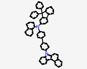 c1ccc(C2(c3ccccc3)c3ccccc3-c3ccc(N(c4ccc(-c5ccc(-n6c7ccccc7c7c8ccccc8ccc76)cc5)cc4)c4cccc5ccccc45)cc32)cc1